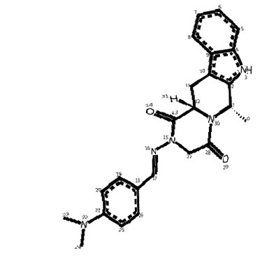 C[C@H]1c2[nH]c3ccccc3c2C[C@H]2C(=O)N(/N=C/c3ccc(N(C)C)cc3)CC(=O)N21